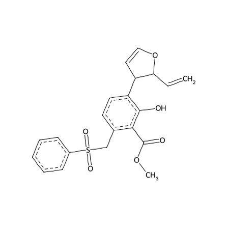 C=CC1OC=CC1c1ccc(CS(=O)(=O)c2ccccc2)c(C(=O)OC)c1O